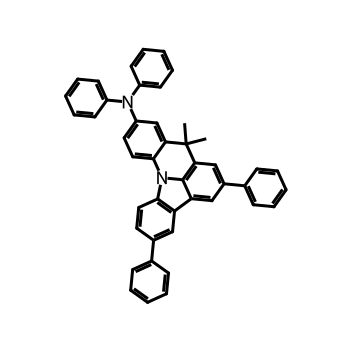 CC1(C)c2cc(N(c3ccccc3)c3ccccc3)ccc2-n2c3ccc(-c4ccccc4)cc3c3cc(-c4ccccc4)cc1c32